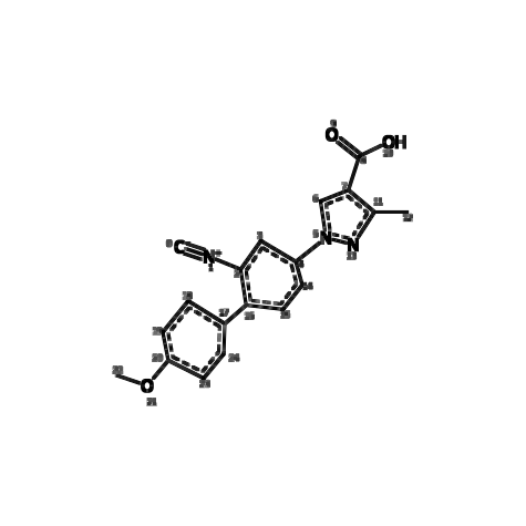 [C-]#[N+]c1cc(-n2cc(C(=O)O)c(C)n2)ccc1-c1ccc(OC)cc1